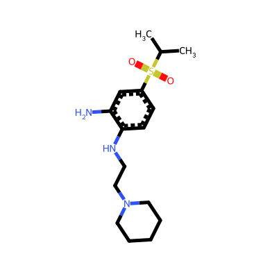 CC(C)S(=O)(=O)c1ccc(NCCN2CCCCC2)c(N)c1